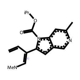 C=C/C(=C\NC)c1cc2cnc(C)cc2n1C(=O)OC(C)C